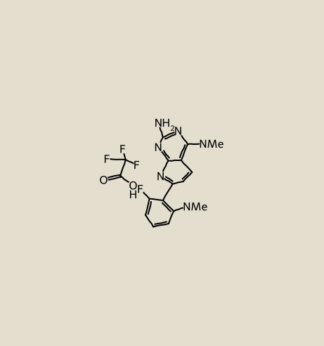 CNc1cccc(F)c1-c1ccc2c(NC)nc(N)nc2n1.O=C(O)C(F)(F)F